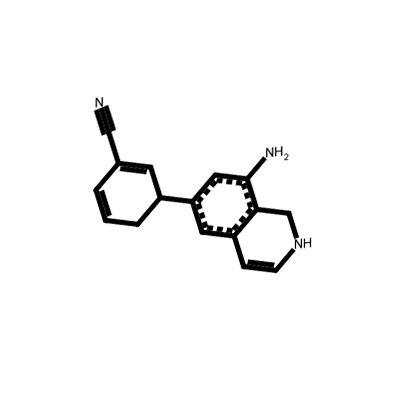 N#CC1=CC(c2cc(N)c3c(c2)C=CNC3)CC=C1